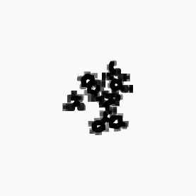 CCC(=O)N[C@H]1C[C@@H](n2cnc3c(NCC(c4ccccc4)c4ccc(F)cc4)nc(N[C@H](CO)Cc4ccccc4)nc32)[C@H](O)[C@@H]1O.O=C(O)C(F)(F)F